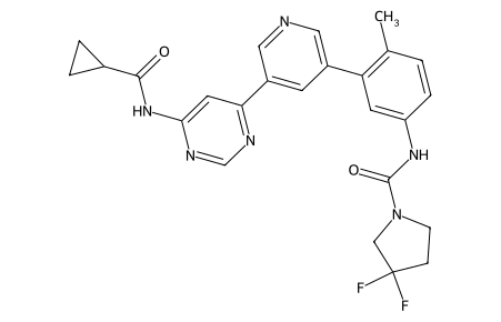 Cc1ccc(NC(=O)N2CCC(F)(F)C2)cc1-c1cncc(-c2cc(NC(=O)C3CC3)ncn2)c1